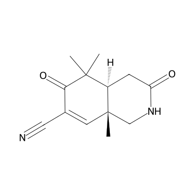 CC1(C)C(=O)C(C#N)=C[C@@]2(C)CNC(=O)C[C@H]12